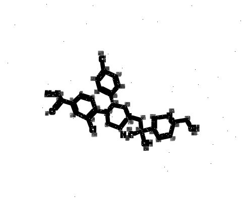 CNC(=O)c1ccc(N2CCN(C[C@@](C)(O)c3ccc(CO)nc3)C[C@H]2c2ccc(Cl)cc2)c(Cl)c1